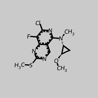 CO[C@@H]1C[C@H]1N(C)c1nc(Cl)c(F)c2nc(SC)ncc12